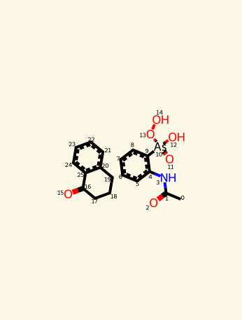 CC(=O)Nc1ccccc1[As](=O)(O)OO.O=C1CCCc2ccccc21